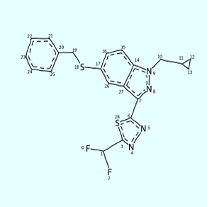 FC(F)c1nnc(-c2nn(CC3CC3)c3ccc(SCc4ccccc4)cc23)s1